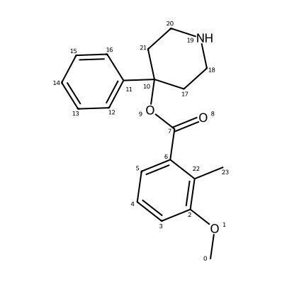 COc1cccc(C(=O)OC2(c3ccccc3)CCNCC2)c1C